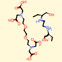 CC[C@@H](CO)NCCN[C@@H](CC)CO.O=C(O)CN(CCOCCOCCN(CC(=O)O)CC(=O)O)CC(=O)O